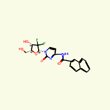 O=C(Nc1ccn([C@@H]2O[C@H](CO)[C@H](O)C2(F)F)c(=O)n1)c1ccc2ccccc2c1